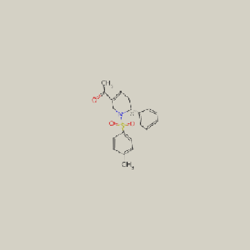 CC(=O)C1=CC[C@H](c2ccccc2)N(S(=O)(=O)c2ccc(C)cc2)C1